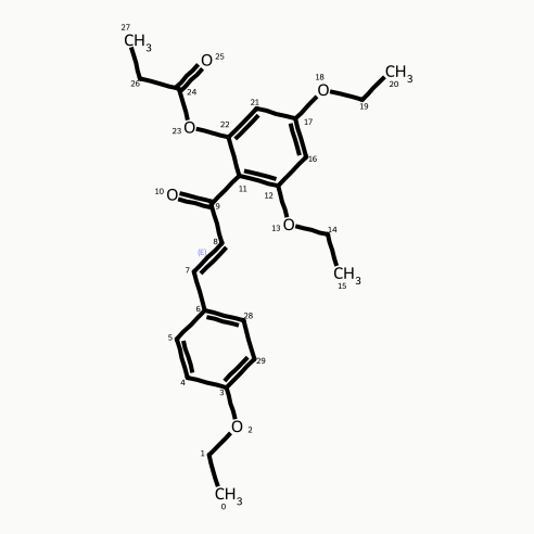 CCOc1ccc(/C=C/C(=O)c2c(OCC)cc(OCC)cc2OC(=O)CC)cc1